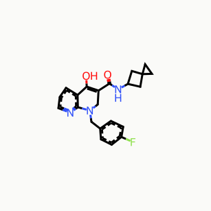 O=C(NC1CC2(CC2)C1)C1=C(O)c2cccnc2N(Cc2ccc(F)cc2)C1